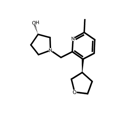 Cc1ccc([C@H]2CCOC2)c(CN2CC[C@H](O)C2)n1